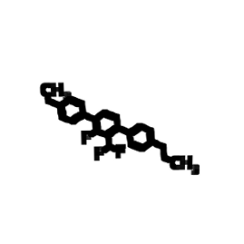 CCCc1ccc(-c2ccc(-c3ccc(CC)cc3)c(F)c2C(F)F)cc1